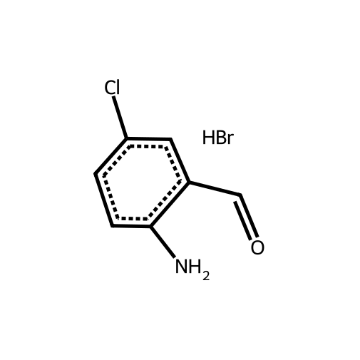 Br.Nc1ccc(Cl)cc1C=O